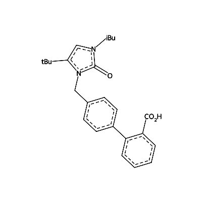 CCC(C)n1cc(C(C)(C)C)n(Cc2ccc(-c3ccccc3C(=O)O)cc2)c1=O